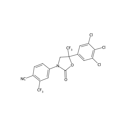 N#Cc1ccc(N2CC(c3cc(Cl)c(Cl)c(Cl)c3)(C(F)(F)F)OC2=O)cc1C(F)(F)F